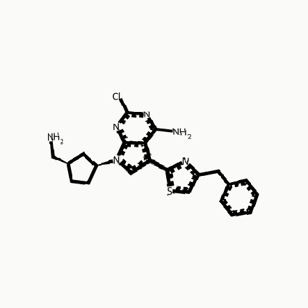 NC[C@@H]1CC[C@H](n2cc(-c3nc(Cc4ccccc4)cs3)c3c(N)nc(Cl)nc32)C1